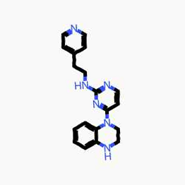 c1ccc2c(c1)NCCN2c1ccnc(NCCc2ccncc2)n1